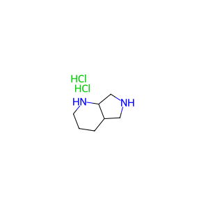 C1CNC2CNCC2C1.Cl.Cl